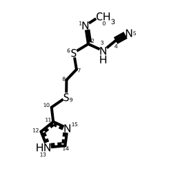 C/N=C(\NC#N)SCCSCc1c[nH]cn1